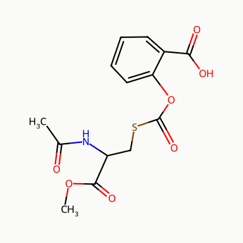 COC(=O)C(CSC(=O)Oc1ccccc1C(=O)O)NC(C)=O